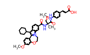 COC[C@](C)(NC(=O)c1ccc2c(C3CCCCC3)c3n(c2c1)CCOc1cc(OC)ccc1-3)C(=O)Nc1ccc(C=CC(=O)O)cc1